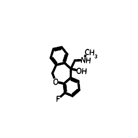 CNCC1(O)c2ccccc2COc2c(F)cccc21